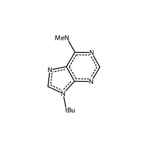 CNc1ncnc2c1ncn2C(C)(C)C